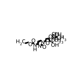 C=CCOC(=O)Nc1ccn([C@H]2C[C@H](O[Si](C)(C)C(C)(C)C)[C@@H](CO)O2)c(=O)n1